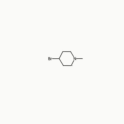 CN1[CH]CC(Br)CC1